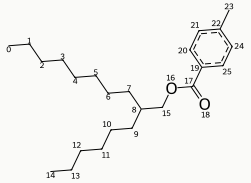 CCCCCCCCC(CCCCCC)COC(=O)c1ccc(C)cc1